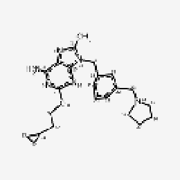 Cc1nc2c(N)nc(OCCC3CC3)nc2n1Cc1cccc(CN2CCCC2)c1